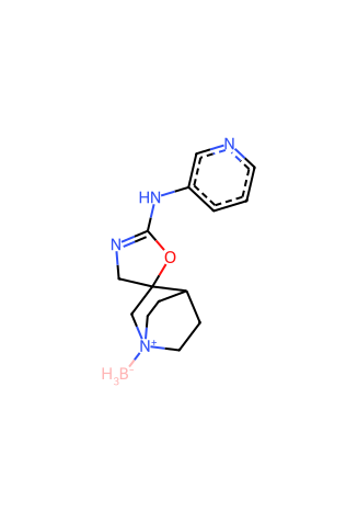 [BH3-][N+]12CCC(CC1)C1(CN=C(Nc3cccnc3)O1)C2